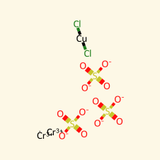 O=S(=O)([O-])[O-].O=S(=O)([O-])[O-].O=S(=O)([O-])[O-].[Cl][Cu][Cl].[Cr+3].[Cr+3]